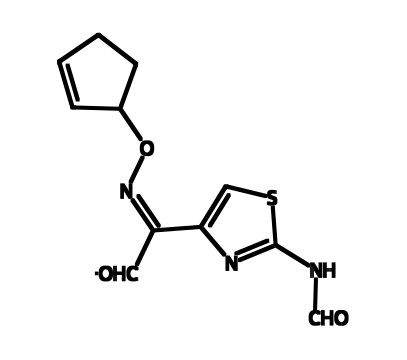 O=[C]C(=NOC1C=CCC1)c1csc(NC=O)n1